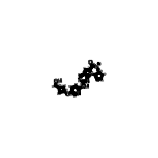 CN(C)C(=O)c1cc2cnc(Nc3ccc(OC4CC(CO)C4)cn3)nc2n1C1CCCC1